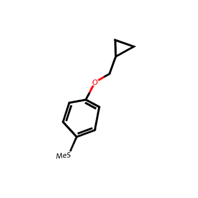 CSc1ccc(OCC2CC2)cc1